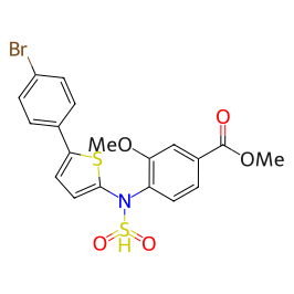 COC(=O)c1ccc(N(c2ccc(-c3ccc(Br)cc3)s2)[SH](=O)=O)c(OC)c1